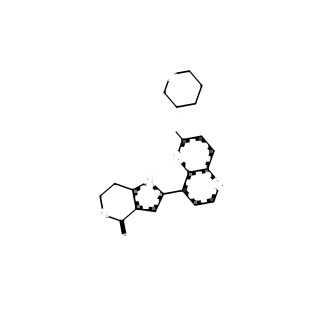 O=C1NCCc2[nH]c(-c3ccnc4ccc(O[C@H]5CCCOC5)nc34)cc21